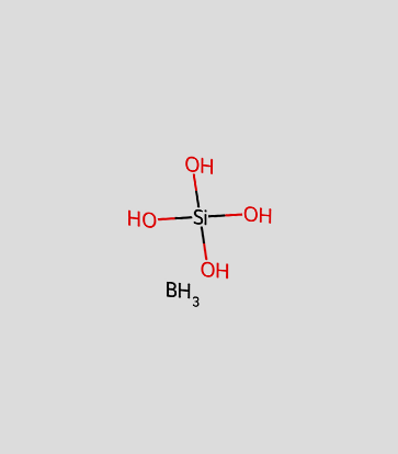 B.O[Si](O)(O)O